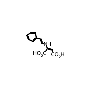 O=C(O)/C=C(/NC=Cc1ccccc1)C(=O)O